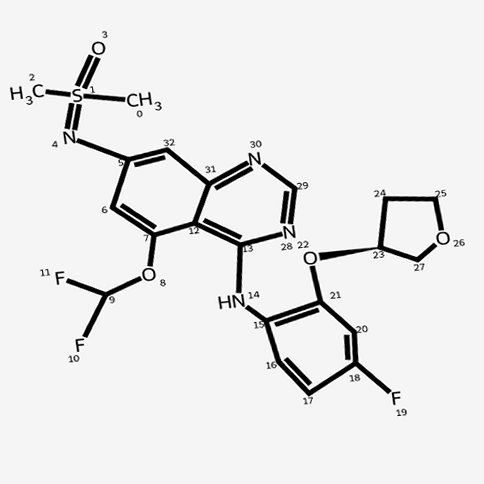 CS(C)(=O)=Nc1cc(OC(F)F)c2c(Nc3ccc(F)cc3O[C@H]3CCOC3)ncnc2c1